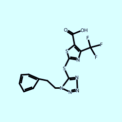 O=C(O)c1sc(Sc2nnnn2CCc2ccccc2)nc1C(F)(F)F